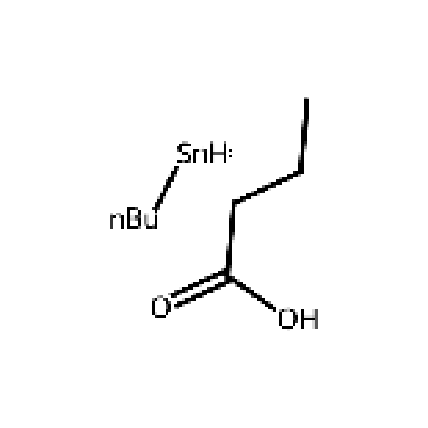 CCCC(=O)O.CCC[CH2][SnH]